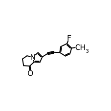 Cc1ccc(C#Cc2cc3n(c2)CCCC3=O)cc1F